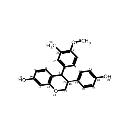 COc1ccc(C2c3ccc(O)cc3OC[C@@H]2c2ccc(O)cc2)cc1C